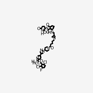 CC(Oc1cc(-c2cnn(C3CCN(C(=O)CCCCN4CC(CNc5cccc6c5C(=O)N(C5CCC(=O)NC5=O)C6=O)C4)CC3)c2)cnc1N)c1c(Cl)ccc(F)c1Cl